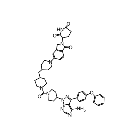 Nc1ncnc2c1c(-c1ccc(Oc3ccccc3)cc1)nn2C1CCN(C(=O)N2CCC(CC3CCN(c4ccc5c(c4)CN(C4CCC(=O)NC4=O)C5=O)CC3)CC2)CC1